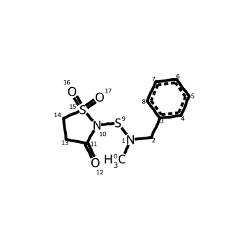 CN(Cc1ccccc1)SN1C(=O)CCS1(=O)=O